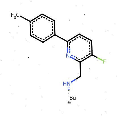 CC[C@@H](C)NCc1nc(-c2ccc(C(F)(F)F)cc2)ccc1F